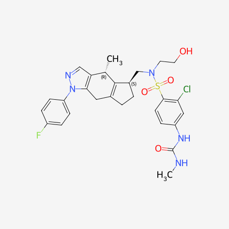 CNC(=O)Nc1ccc(S(=O)(=O)N(CCO)C[C@H]2CCC3=C2[C@@H](C)c2cnn(-c4ccc(F)cc4)c2C3)c(Cl)c1